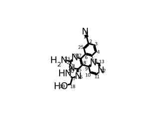 N#Cc1cccc(C2=C(c3ccncn3)C3=NC(CO)NN3C(N)=N2)c1